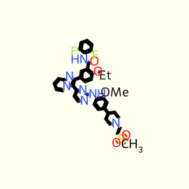 CCOc1ccc(-c2nc3ccccn3c2-c2ccnc(Nc3ccc(C4CCN(CCS(C)(=O)=O)CC4)cc3OC)n2)cc1C(=O)Nc1c(F)cccc1F